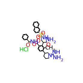 Cc1c(C2CCCN(C(=N)N)C2)ccc(C(=O)ONC(=O)c2ccccc2)c1C(CNS(=O)(=O)c1ccc2ccccc2c1)C(N)=O.Cl